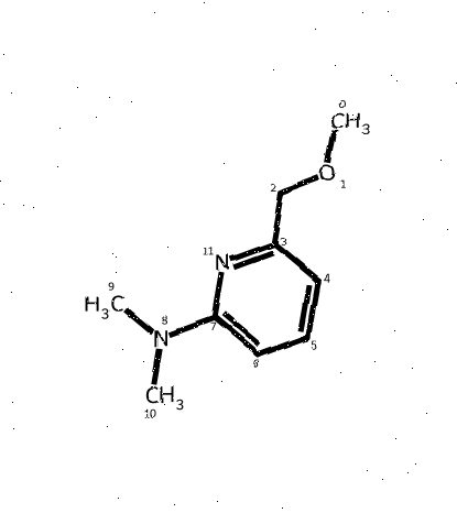 COCc1cccc(N(C)C)n1